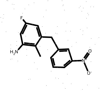 Cc1c(N)cc(F)cc1Cc1cccc([N+](=O)[O-])c1